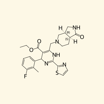 CCOC(=O)C1=C(CN2CC[C@@H]3C(=O)NC[C@@H]3C2)NC(c2nccs2)=NC1c1cccc(F)c1C